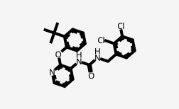 CC(C)(C)c1ccccc1Oc1ncccc1NC(=O)NCc1cccc(Cl)c1Cl